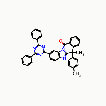 Cc1ccc(C2(C)c3ccccc3C(=O)n3c2nc2ccc(-c4nc(-c5ccccc5)nc(-c5ccccc5)n4)cc23)cc1